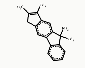 CC1=C(C)c2cc3c(cc2C1)-c1ccccc1C3(C)N